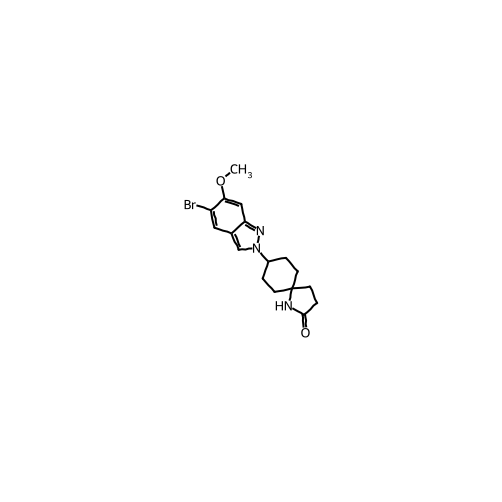 COc1cc2nn(C3CCC4(CCC(=O)N4)CC3)cc2cc1Br